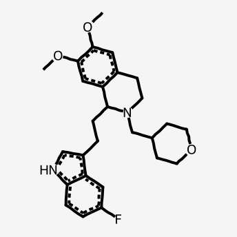 COc1cc2c(cc1OC)C(CCc1c[nH]c3ccc(F)cc13)N(CC1CCOCC1)CC2